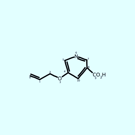 C=CCOc1cncc(C(=O)O)c1